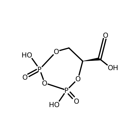 O=C(O)[C@@H]1COP(=O)(O)OP(=O)(O)O1